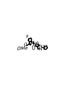 COC(=O)c1cn(NC(=O)c2cnc(-c3ccccn3)nc2C)c2ccc(F)cc12